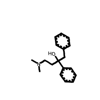 CN(C)CCC(O)(Cc1ccccc1)c1ccccc1